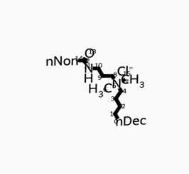 CCCCCCCCCCCCCC[N+](C)(C)CCCNC(=O)CCCCCCCCC.[Cl-]